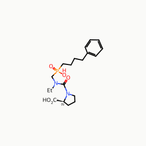 CCN(CP(=O)(O)CCCCc1ccccc1)C(=O)N1CCC[C@H]1C(=O)O